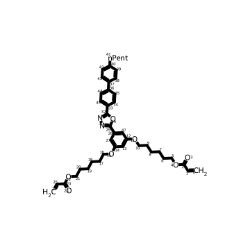 C=CC(=O)OCCCCCCOc1cc(OCCCCCCOC(=O)C=C)cc(-c2nnc(-c3ccc(-c4ccc(CCCCC)cc4)cc3)o2)c1